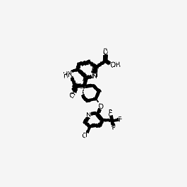 O=C(O)c1ccc2c(n1)[C@]1(CC[C@@H](Oc3ncc(Cl)cc3C(F)(F)F)CC1)C(=O)N2